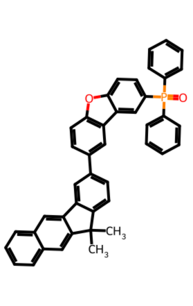 CC1(C)c2ccc(-c3ccc4oc5ccc(P(=O)(c6ccccc6)c6ccccc6)cc5c4c3)cc2-c2cc3ccccc3cc21